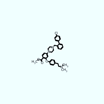 COC(=O)c1ccc(N2CCN(Cc3ccccc3-c3ccc(Cl)cc3)CC2)cc1Oc1ccc(CCN(C)C)cc1